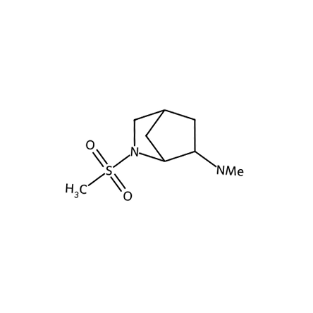 CNC1CC2CC1N(S(C)(=O)=O)C2